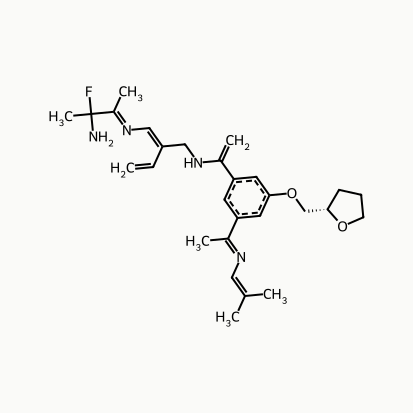 C=C/C(=C\N=C(/C)C(C)(N)F)CNC(=C)c1cc(OC[C@@H]2CCCO2)cc(/C(C)=N/C=C(C)C)c1